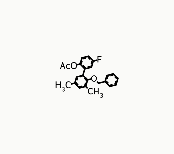 CC(=O)Oc1ccc(F)cc1-c1cc(C)cc(C)c1OCc1ccccc1